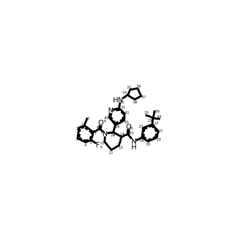 Cc1cccc(F)c1C(=O)N1CCCC(C(=O)Nc2cccc(C(C)(C)C)c2)C1c1ccc(NC2CCCC2)nc1